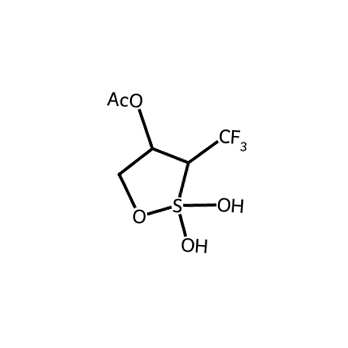 CC(=O)OC1COS(O)(O)C1C(F)(F)F